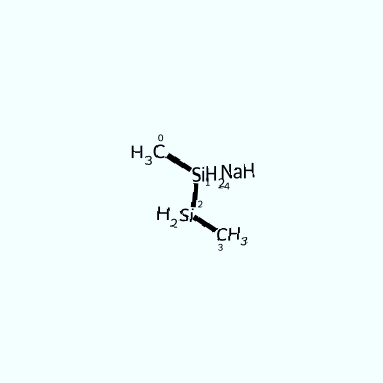 C[SiH2][SiH2]C.[NaH]